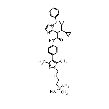 Cc1nn(COCCS(C)(C)C)c(C)c1-c1ccc(NC(=O)C(c2nccn2Cc2ccccc2)C(C2CC2)C2CC2)cc1